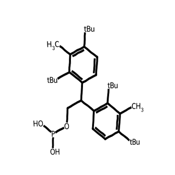 Cc1c(C(C)(C)C)ccc(C(COP(O)O)c2ccc(C(C)(C)C)c(C)c2C(C)(C)C)c1C(C)(C)C